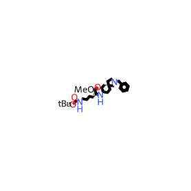 COC(=O)[C@@H](CCCCNC(=O)OC(C)(C)C)N[C@H]1CC[C@@]2(CCN(Cc3ccccc3)C2)CC1